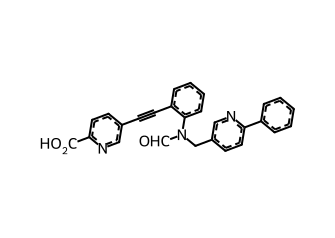 O=CN(Cc1ccc(-c2ccccc2)nc1)c1ccccc1C#Cc1ccc(C(=O)O)nc1